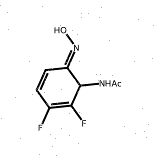 CC(=O)NC1C(F)=C(F)C=C/C1=N\O